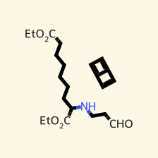 CCOC(=O)CCCCCCC(NCCC=O)C(=O)OCC.c1cc2ccc1-2